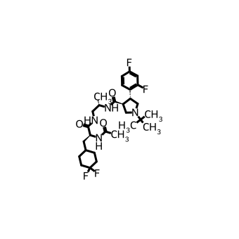 CC(=O)N[C@@H](CC1CCC(F)(F)CC1)C(=O)NC[C@H](C)NC(=O)[C@@H]1CN(C(C)(C)C)C[C@H]1c1ccc(F)cc1F